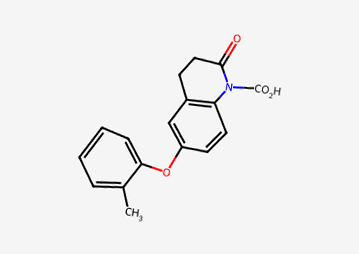 Cc1ccccc1Oc1ccc2c(c1)CCC(=O)N2C(=O)O